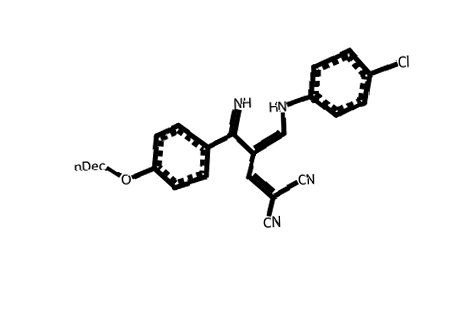 CCCCCCCCCCOc1ccc(C(=N)/C(C=C(C#N)C#N)=C\Nc2ccc(Cl)cc2)cc1